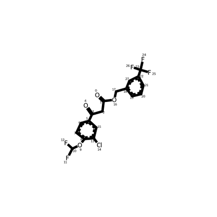 O=C(CC(=O)c1ccc(OC(F)F)c(Cl)c1)OCc1cccc(C(F)(F)F)c1